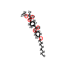 CCCCCCCCOc1ccc(OC(=O)c2ccc(OC(=O)C(C)OCC)cc2)cc1